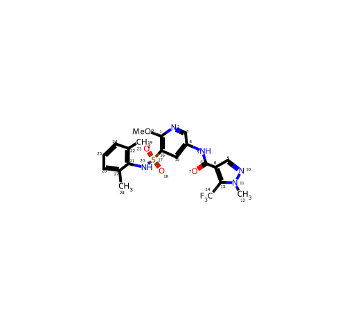 COc1ncc(NC(=O)c2cnn(C)c2C(F)(F)F)cc1S(=O)(=O)Nc1c(C)cccc1C